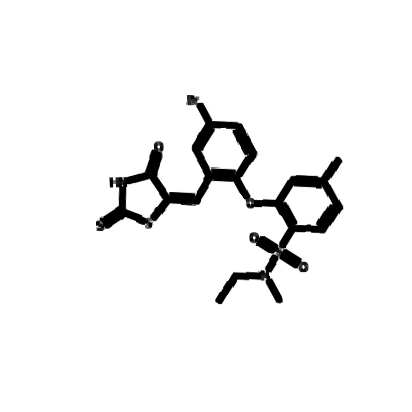 CCN(C)S(=O)(=O)c1ccc(C)cc1Oc1ccc(Br)cc1C=C1SC(=S)NC1=O